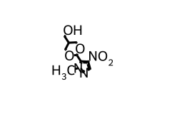 Cn1ncc([N+](=O)[O-])c1C1OCC(CO)CO1